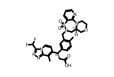 Cc1ccc([C@@H](CC(=O)O)c2ccn3c(C(F)F)nnc3c2C)cc1CN1C[C@H]2COCCN2c2ncccc2S1(=O)=O